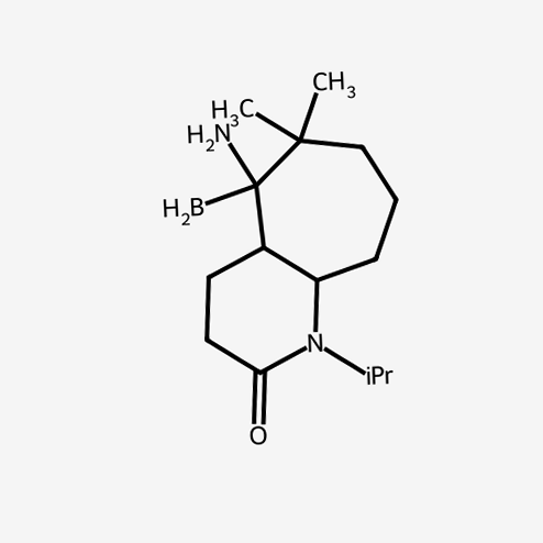 BC1(N)C2CCC(=O)N(C(C)C)C2CCCC1(C)C